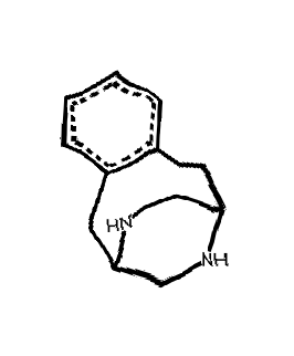 c1ccc2c(c1)CC1CNC(CN1)C2